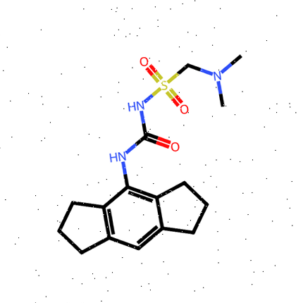 CN(C)CS(=O)(=O)NC(=O)Nc1c2c(cc3c1CCC3)CCC2